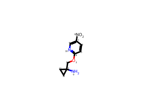 NC1(COc2ccc([N+](=O)[O-])cn2)CC1